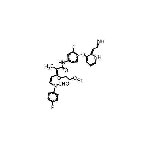 CCOCCOC(/C=C\N(C=O)c1ccc(F)cc1)=C(/C)C(=O)Nc1ccc(OC2=CC=CN/C2=C\C=N)c(F)c1